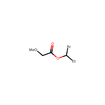 CCC(OC(=O)COC)C(C)=O